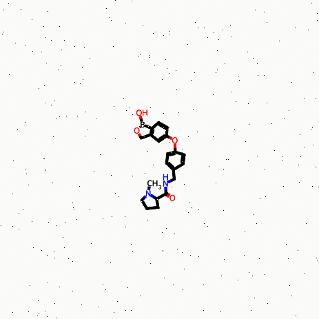 CN1CCCC1C(=O)NCc1ccc(Oc2ccc3c(c2)COB3O)cc1